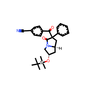 CC(C)(C)[Si](C)(C)O[C@H]1C[C@@H]2CC(C(=O)c3ccc(C#N)cc3)(c3ccccc3)C(=O)N2C1